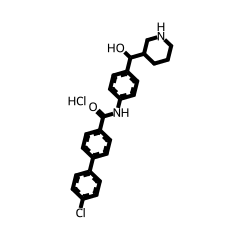 Cl.O=C(Nc1ccc(C(O)C2CCCNC2)cc1)c1ccc(-c2ccc(Cl)cc2)cc1